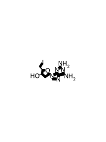 Nc1nc(N)c2ncn([C@H]3C[C@H](O)[C@@H](CI)O3)c2n1